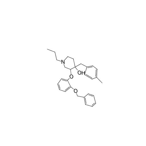 CCCN1CCC(O)(Cc2ccc(C)cc2)C(Oc2ccccc2OCc2ccccc2)C1